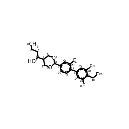 CCCC(O)C1COC(c2ccc(-c3cc(F)c(CF)c(F)c3)c(F)c2)OC1